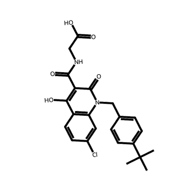 CC(C)(C)c1ccc(Cn2c(=O)c(C(=O)NCC(=O)O)c(O)c3ccc(Cl)cc32)cc1